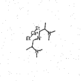 CC(C[N-]CC(C)N(C)C)N(C)C.C[CH2][Ga+][CH2]C